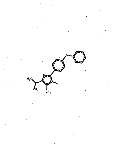 Cc1c(O)c(-c2ccc(Sc3ccccc3)cc2)nn1C(C)C